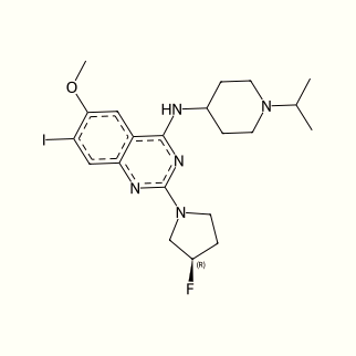 COc1cc2c(NC3CCN(C(C)C)CC3)nc(N3CC[C@@H](F)C3)nc2cc1I